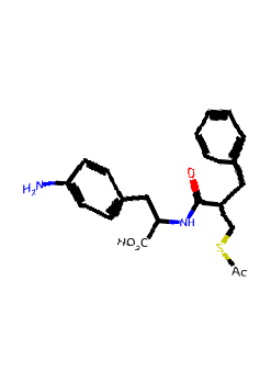 CC(=O)SCC(Cc1ccccc1)C(=O)NC(Cc1ccc(N)cc1)C(=O)O